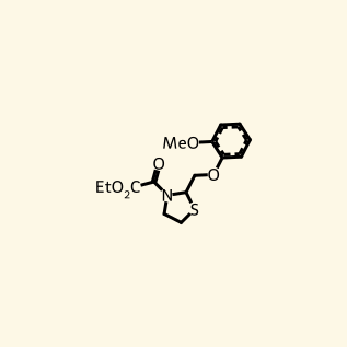 CCOC(=O)C(=O)N1CCSC1COc1ccccc1OC